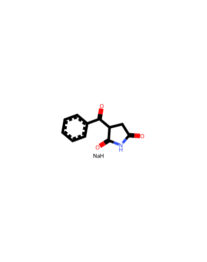 O=C1CC(C(=O)c2ccccc2)C(=O)N1.[NaH]